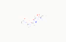 CC(C)[C@H](N)C(=O)N[C@H](C(=O)N(C)[C@H](C(=O)N1CCC[C@H]1C(=O)N1CCC[C@H]1C(=O)O)C(C)C)C(C)C